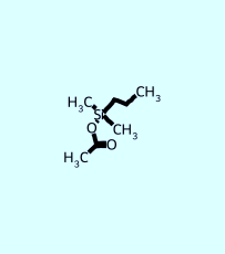 CCC[Si](C)(C)OC(C)=O